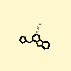 C1=CCC(Cc2cccc3c2Cc2ccccc2-3)=C1.[Cl-].[Cl-].[Cl-].[Zr+3]